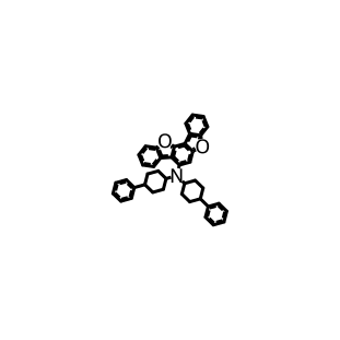 c1ccc(C2CCC(N(c3cc4oc5ccccc5c4c4oc5ccccc5c34)C3CCC(c4ccccc4)CC3)CC2)cc1